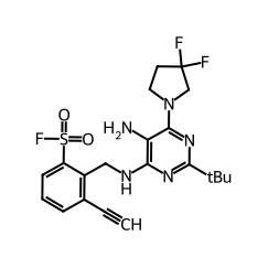 C#Cc1cccc(S(=O)(=O)F)c1CNc1nc(C(C)(C)C)nc(N2CCC(F)(F)C2)c1N